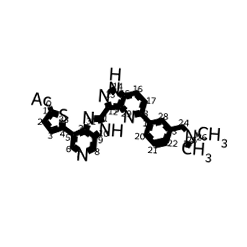 CC(=O)c1ccc(-c2cncc3[nH]c(-c4n[nH]c5ccc(-c6cc#cc(CN(C)C)c6)nc45)nc23)s1